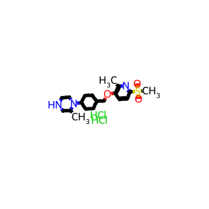 Cc1nc(S(C)(=O)=O)ccc1OCC1CCC(N2CCNCC2C)CC1.Cl.Cl